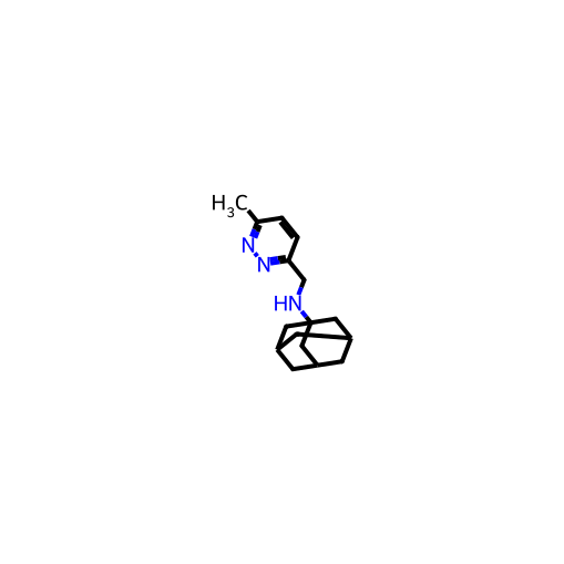 Cc1ccc(CNC23CC4CC(CC(C4)C2)C3)nn1